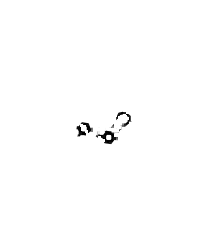 O=C(Nc1ccc(F)c(Cl)c1)c1ccc(F)c(S(=O)(=O)N2CCC(F)CC(O)C2)c1